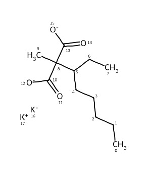 CCCCCC(CC)C(C)(C(=O)[O-])C(=O)[O-].[K+].[K+]